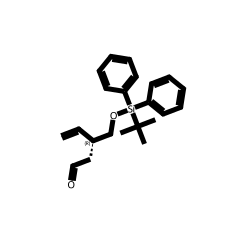 C=C[C@@H](CC=O)CO[Si](c1ccccc1)(c1ccccc1)C(C)(C)C